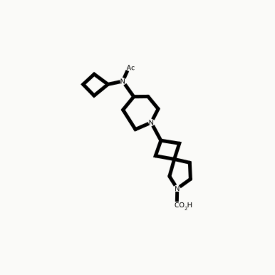 CC(=O)N(C1CCC1)C1CCN(C2CC3(CCN(C(=O)O)C3)C2)CC1